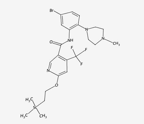 CN1CCN(c2ccc(Br)cc2NC(=O)c2cnc(OCC[Si](C)(C)C)cc2C(F)(F)F)CC1